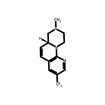 CN1CCN2c3ncc(C(F)(F)F)cc3C=C[C@@H]2C1